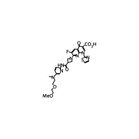 COCCOCCN(C)c1ccc(NC(=O)C2CN(c3nc4c(cc3F)c(=O)c(C(=O)O)cn4-c3nccs3)C2)nc1